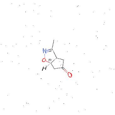 CC1=NO[C@@H]2CC(=O)CC12